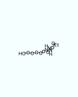 CCC(=O)c1ccc2[nH]c(C(=O)Nc3ccc(OCCOCCOCCOCCO)cc3)nc2c1